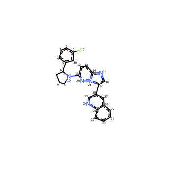 Fc1cccc(C2CCCN2c2ccc3ncc(-c4cnc5ccccc5c4)n3n2)c1